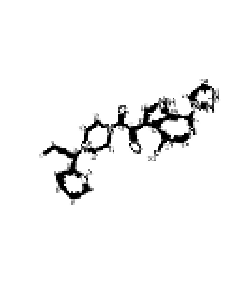 CC=C(c1ccccn1)N1CCN(C(=O)C(=O)c2c[nH]c3c(-n4ccnn4)ncc(F)c23)CC1